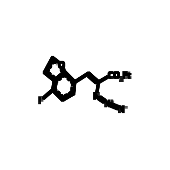 CCOC(=O)/C(=C/c1ccc(F)c2ccoc12)N=[N+]=[N-]